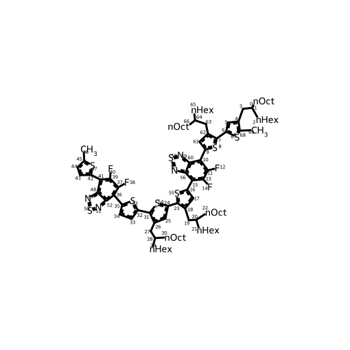 CCCCCCCCC(CCCCCC)Cc1cc(-c2sc(-c3c(F)c(F)c(-c4cc(CC(CCCCCC)CCCCCCCC)c(-c5cc(CC(CCCCCC)CCCCCCCC)c(-c6ccc(-c7c(F)c(F)c(-c8ccc(C)s8)c8nsnc78)s6)s5)s4)c4nsnc34)cc2CC(CCCCCC)CCCCCCCC)sc1C